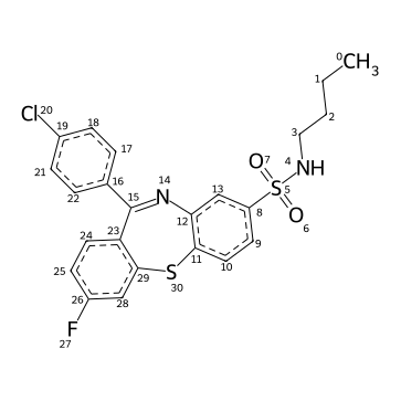 CCCCNS(=O)(=O)c1ccc2c(c1)N=C(c1ccc(Cl)cc1)c1ccc(F)cc1S2